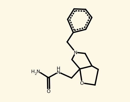 NC(=O)NCC12CN(Cc3ccccc3)CC1CCO2